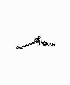 CCCCCCCCCCCCCCCCC=Cn1ccc(=O)c(OCc2ccc(OC)cc2)c1C=O